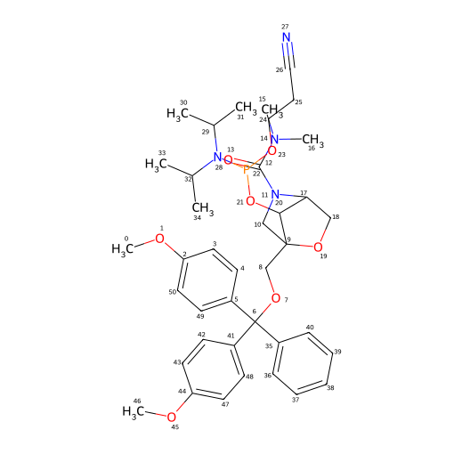 COc1ccc(C(OCC23CN(C(=O)N(C)C)C(CO2)C3OP(OCCC#N)N(C(C)C)C(C)C)(c2ccccc2)c2ccc(OC)cc2)cc1